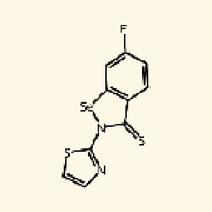 Fc1ccc2c(=S)n(-c3nccs3)[se]c2c1